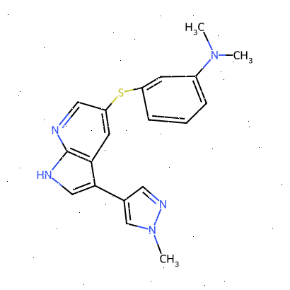 CN(C)c1cccc(Sc2cnc3[nH]cc(-c4cnn(C)c4)c3c2)c1